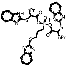 CCCC(Sc1nc2ccccc2[nH]1)C(=O)OP(=O)(CCCSc1nc2ccccc2s1)OC(=O)C(CCC)Sc1nc2ccccc2[nH]1